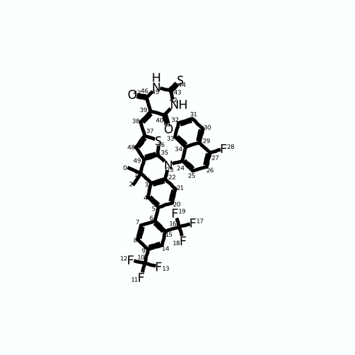 CC1(C)c2cc(-c3ccc(C(F)(F)F)cc3C(F)(F)F)ccc2N(c2ccc(F)c3ccccc23)c2sc(C=C3C(=O)NC(=S)NC3=O)cc21